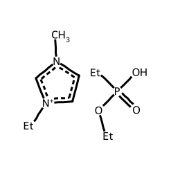 CCOP(=O)(O)CC.CC[n+]1ccn(C)c1